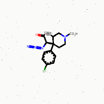 COC(=O)C(N=[N+]=[N-])C1(c2ccc(Cl)cc2)CCN(C(=O)O)CC1C(C)(C)C